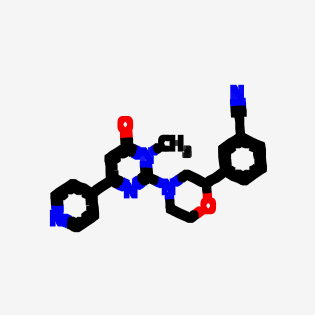 Cn1c(N2CCOC(c3cccc(C#N)c3)C2)nc(-c2ccncc2)cc1=O